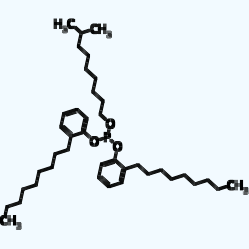 CCCCCCCCCc1ccccc1OP(OCCCCCCCC(C)C)Oc1ccccc1CCCCCCCCC